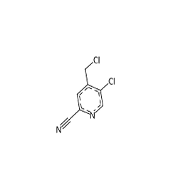 N#Cc1cc(CCl)c(Cl)cn1